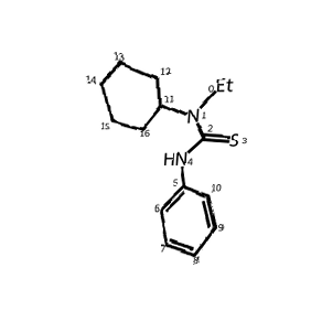 CCN(C(=S)Nc1ccccc1)C1CCCCC1